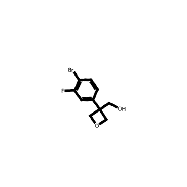 OCC1(c2ccc(Br)c(F)c2)COC1